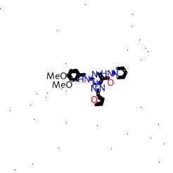 COc1ccc(CNc2ncc(C(=O)NN3CCCCC3)c3nc(-c4ccco4)nn23)cc1OC